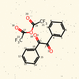 O=C(C(=O)c1ccccc1)c1ccccc1.O=C(OC(=O)C(F)(F)F)C(F)(F)F